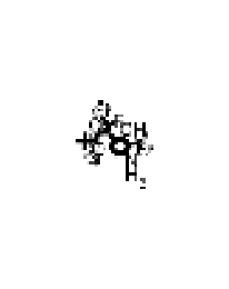 COC(=O)c1c(N)ccc(-c2c(C(O[SiH](C)C)C(C)(C)C)oc([Si](C)(C)C)c2F)c1O